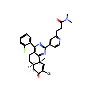 C[C@H]1C(=O)C(C#N)=C[C@@]2(C)c3nc(-c4ccnc(CCC(=O)N(C)C)c4)nc(-c4ccccc4F)c3CC[C@H]12